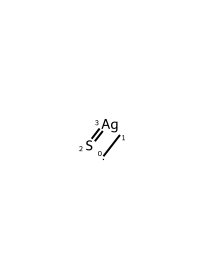 [CH2]C.[S]=[Ag]